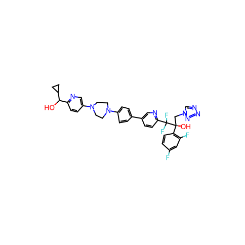 OC(c1ccc(N2CCN(c3ccc(-c4ccc(C(F)(F)[C@](O)(Cn5cnnn5)c5ccc(F)cc5F)nc4)cc3)CC2)cn1)C1CC1